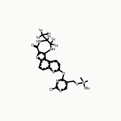 [2H]C([2H])([2H])C1([2H])NC(=O)c2sc3ccc4nc(Oc5nc(Cl)ncc5CO[Si](C)(C)C(C)(C)C)ccc4c3c2NC1([2H])[2H]